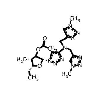 CC[C@H]1O[C@@H](n2cc(N(Cc3cn(C)nn3)Cc3cn(C)nn3)nn2)C(OC(C)=O)[C@H]1C